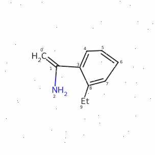 C=C(N)c1ccccc1CC